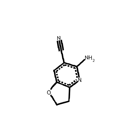 N#Cc1cc2c(nc1N)CCO2